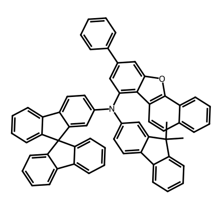 CC1(C)c2ccccc2-c2ccc(N(c3ccc4c(c3)C3(c5ccccc5-c5ccccc53)c3ccccc3-4)c3cc(-c4ccccc4)cc4oc5c6ccccc6ccc5c34)cc21